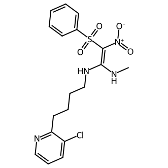 CNC(NCCCCc1ncccc1Cl)=C([N+](=O)[O-])S(=O)(=O)c1ccccc1